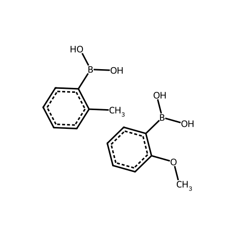 COc1ccccc1B(O)O.Cc1ccccc1B(O)O